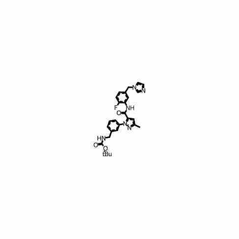 Cc1cc(C(=O)Nc2cc(Cn3ccnc3)ccc2F)n(-c2cccc(CNC(=O)OC(C)(C)C)c2)n1